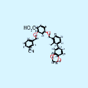 Cc1c(COc2ccc(C(=O)O)c(OCc3cccc(C#N)c3)c2)cccc1-c1ccc2c(c1)OCCO2